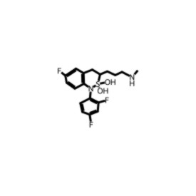 CNCCCC1Cc2cc(F)ccc2N(c2ccc(F)cc2F)S1(O)O